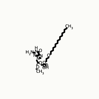 CCCCCCCCCCCCCCCCOCCCOP(=O)(O)CO[C@H](COCC)Cn1cnc2c(=O)[nH]c(N)nc21